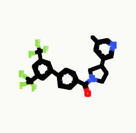 Cc1cncc(C2CCN(C(=O)c3ccc(-c4cc(C(F)(F)F)cc(C(F)(F)F)c4)cc3)C2)c1